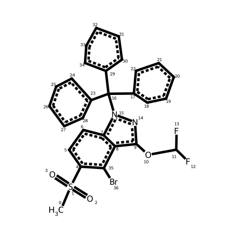 CS(=O)(=O)c1ccc2c(c(OC(F)F)nn2C(c2ccccc2)(c2ccccc2)c2ccccc2)c1Br